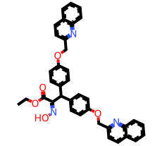 CCOC(=O)C(=NO)C(c1ccc(OCc2ccc3ccccc3n2)cc1)c1ccc(OCc2ccc3ccccc3n2)cc1